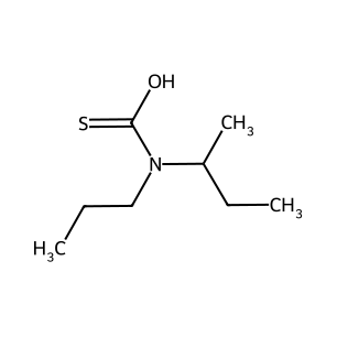 CCCN(C(O)=S)C(C)CC